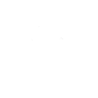 CCOc1cc(CN2CCC(Nc3ccc4ccccc4n3)CC2)cc(OCC)c1Br